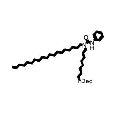 C=CCCCCCCCCCCCCCCCCCN(CCCCCCCCCCCCCCCCCC)C(=O)Nc1ccccc1